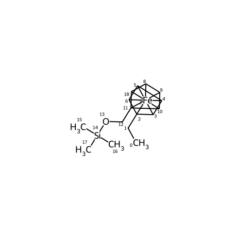 CC[C]12[CH]3[CH]4[CH]5[CH]1[Fe]45321678[CH]2[CH]1[CH]6[C]7(CO[Si](C)(C)C)[CH]28